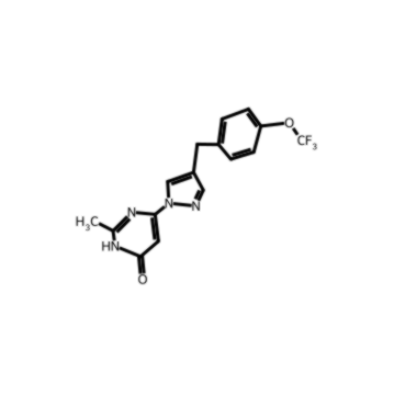 Cc1nc(-n2cc(Cc3ccc(OC(F)(F)F)cc3)cn2)cc(=O)[nH]1